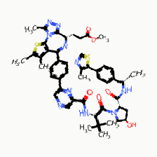 COC(=O)CC[C@@H]1N=C(c2ccc(-c3cncc(C(=O)N[C@H](C(=O)N4C[C@H](O)C[C@H]4C(=O)N[C@@H](C)c4ccc(-c5scnc5C)cc4)C(C)(C)C)n3)cc2)c2c(sc(C)c2C)-n2c(C)nnc21